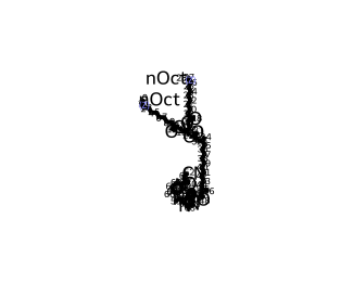 CCCCCCCC/C=C\CCCCCCCC(=O)OCC(COC(=O)CCCCCCC/C=C\CCCCCCCC)OC(=O)CC(C)CCCCCCCCCCC(C)C(=O)n1ccc2c(N(C)[C@H]3CN(C(=O)CC#N)CC[C@H]3C)ncnc21